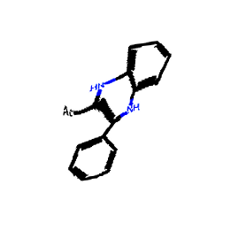 CC(=O)C1=C(c2ccccc2)Nc2ccccc2N1